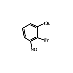 CC(C)c1c(N=O)cccc1C(C)(C)C